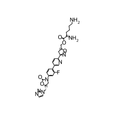 NCCCC[C@H](N)C(=O)OC[C@@H]1CC(c2ccc(-c3ccc(N4C[C@H](Cn5ccnn5)OC4=O)cc3F)cn2)=NO1